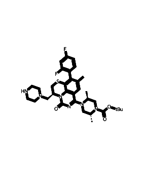 Cc1cc2c(N3C[C@@H](C)N(C(=O)OC(C)(C)C)C[C@@H]3C)nc(=O)n3c2c(c1-c1ccc(F)cc1F)SC[C@@H]3CN1CCNCC1